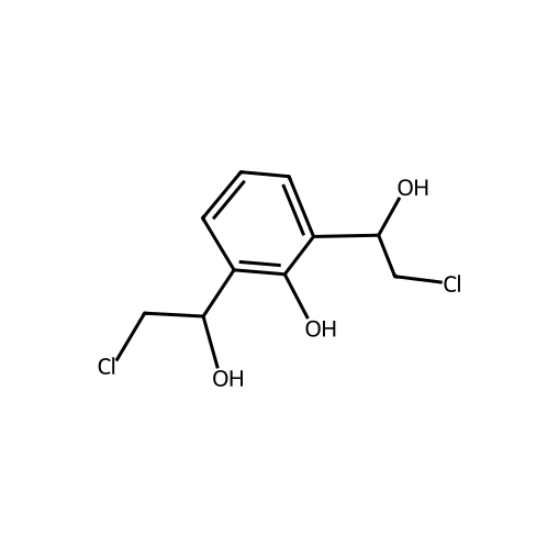 Oc1c(C(O)CCl)cccc1C(O)CCl